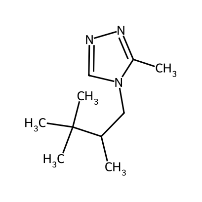 Cc1nncn1CC(C)C(C)(C)C